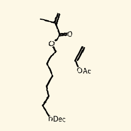 C=C(C)C(=O)OCCCCCCCCCCCCCCCC.C=COC(C)=O